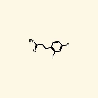 CC(C)C(=O)CCc1ccc(F)cc1F